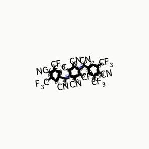 N#C/C(c1cc(C(F)(F)F)c(C#N)c(C(F)(F)F)c1)=c1\c(C#N)c(C(F)(F)F)/c(=C(/C#N)c2cc(C(F)(F)F)c(C#N)c(C(F)(F)F)c2)c(C#N)c1C(F)(F)F